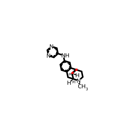 CN1CCC23CCCC[C@H]2[C@H]1Cc1ccc(Nc2cncnc2)cc13